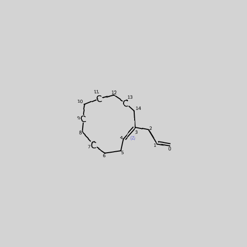 C=CC/C1=C\CCCCCCCCCC1